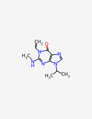 C=Cn1c(NC)nc2c(ncn2C(C)C)c1=O